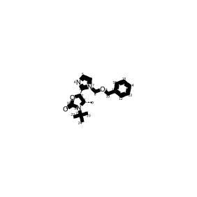 C[C@H]1[C@@H](c2nccn2COCc2ccccc2)OC(=O)N1C(C)(C)C